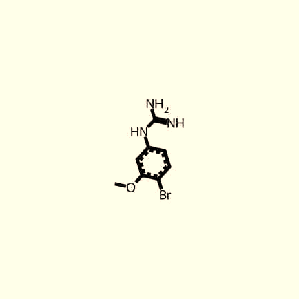 COc1cc(NC(=N)N)ccc1Br